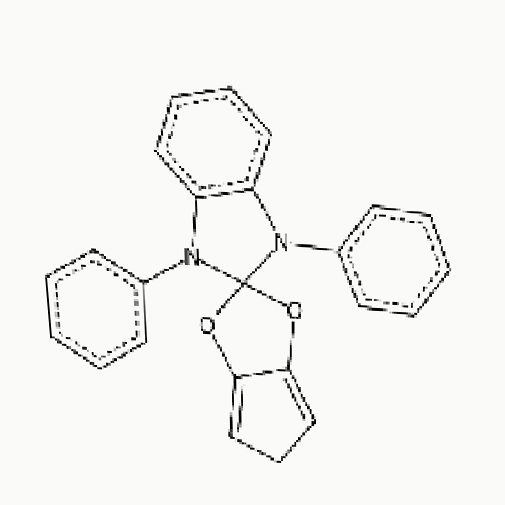 C1=C2OC3(OC2=CC1)N(c1ccccc1)c1ccccc1N3c1ccccc1